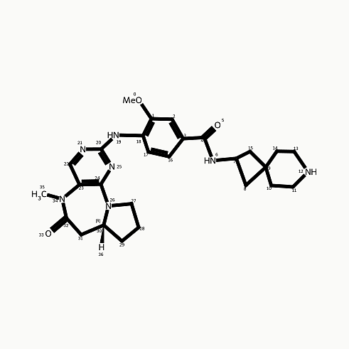 COc1cc(C(=O)NC2CC3(CCNCC3)C2)ccc1Nc1ncc2c(n1)N1CCC[C@@H]1CC(=O)N2C